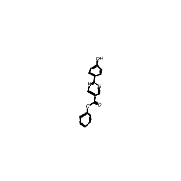 O=C(Oc1ccccc1)c1cnc(-c2ccc(O)cc2)nc1